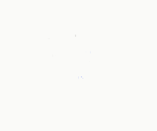 CC(C)C(C)c1cc(NC2CCCCC2)c[nH]1